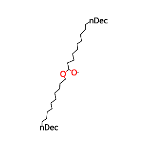 CCCCCCCCCCCCCCCCCCCCOC([O])CCCCCCCCCCCCCCCCCCC